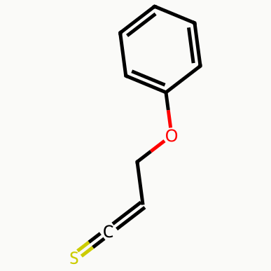 S=C=CCOc1ccccc1